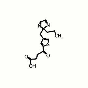 CCCC1(Cc2csc(C(=O)CCC(=O)O)c2)N=CC=N1